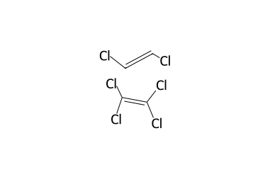 ClC(Cl)=C(Cl)Cl.ClC=CCl